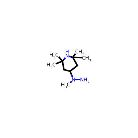 CN(N)C1CC(C)(C)NC(C)(C)C1